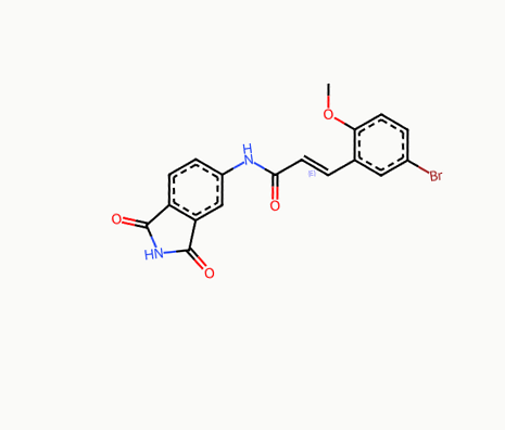 COc1ccc(Br)cc1/C=C/C(=O)Nc1ccc2c(c1)C(=O)NC2=O